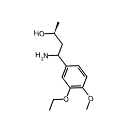 CCOc1cc(C(N)C[C@H](C)O)ccc1OC